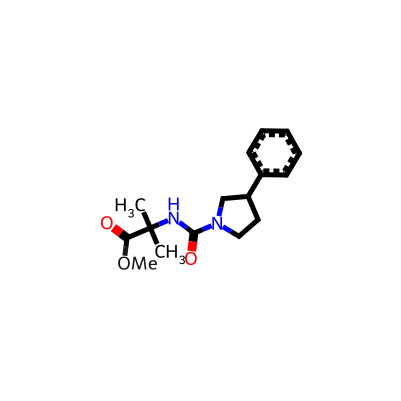 COC(=O)C(C)(C)NC(=O)N1CCC(c2ccccc2)C1